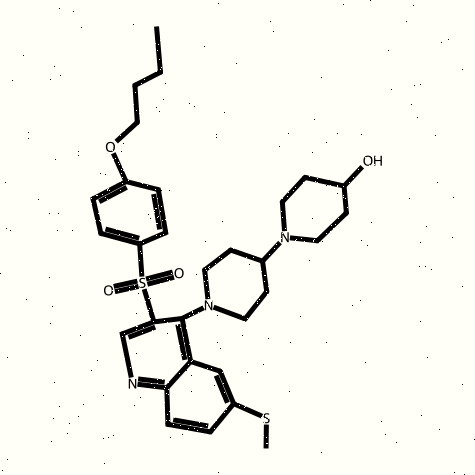 CCCCOc1ccc(S(=O)(=O)c2cnc3ccc(SC)cc3c2N2CCC(N3CCC(O)CC3)CC2)cc1